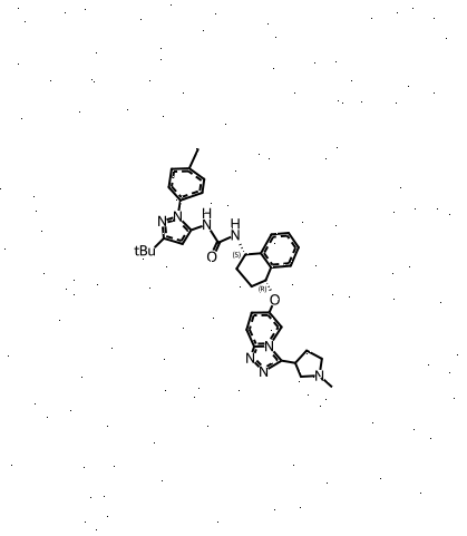 Cc1ccc(-n2nc(C(C)(C)C)cc2NC(=O)N[C@H]2CC[C@@H](Oc3ccc4nnc(C5CCN(C)C5)n4c3)c3ccccc32)cc1